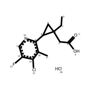 CCC1(CC(=O)O)CC1c1ncc(F)c(Cl)c1C.Cl